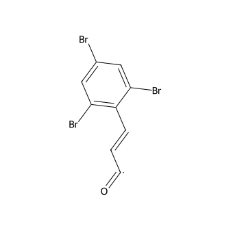 O=[C]C=Cc1c(Br)cc(Br)cc1Br